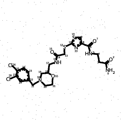 NC(=O)CCNC(=O)c1csc(SCC(=O)NCC2CN(Cc3ccc(Cl)c(Cl)c3)CCO2)n1